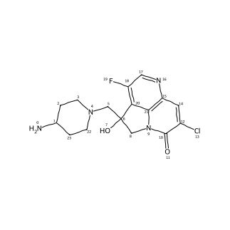 NC1CCN(CC2(O)Cn3c(=O)c(Cl)cc4ncc(F)c2c43)CC1